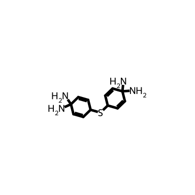 NC1(N)C=CC(SC2C=CC(N)(N)C=C2)C=C1